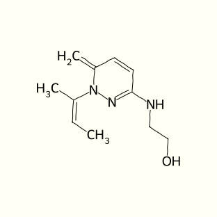 C=C1C=CC(NCCO)=NN1/C(C)=C\C